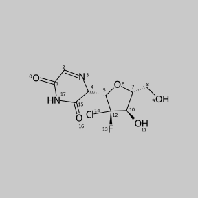 O=C1C=NC([C@@H]2O[C@H](CO)[C@@H](O)[C@]2(F)Cl)C(=O)N1